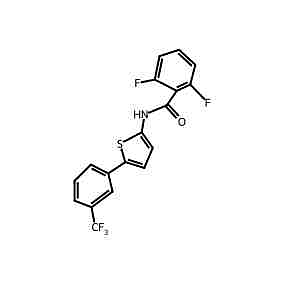 O=C(Nc1ccc(-c2cccc(C(F)(F)F)c2)s1)c1c(F)cccc1F